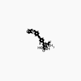 CC(CF)NC[C@H](Cc1nc[nH]c(=O)c1O)c1ccc(C#Cc2ccc(CN3CC4COCC4C3)cc2)cc1F